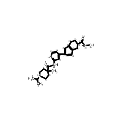 CC(C)N1CCC(C)(C(=O)Nc2cc(-c3ccc4c(c3)CCC(C(=O)NO)C4)ccn2)CC1